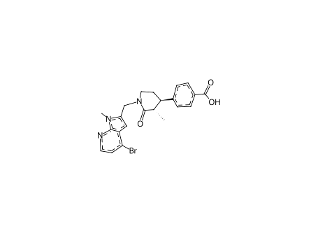 C[C@@H]1C(=O)N(Cc2cc3c(Br)ccnc3n2C)CC[C@H]1c1ccc(C(=O)O)cc1